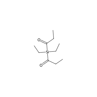 CCC(=O)[Si](CC)(CC)C(=O)CC